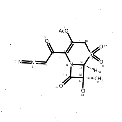 CC(=O)OC1=C(C(=O)C=[N+]=[N-])N2C(=O)[C@](C)(Cl)[C@@H]2S(=O)(=O)C1